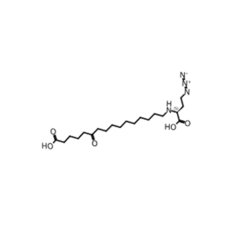 [N-]=[N+]=NCC[C@H](NCCCCCCCCCCC(=O)CCCCC(=O)O)C(=O)O